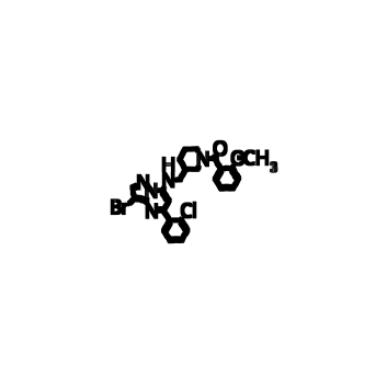 COc1ccccc1C(=O)N1CCCC(CNc2cc(-c3ccccc3Cl)nc3c(Br)cnn23)C1